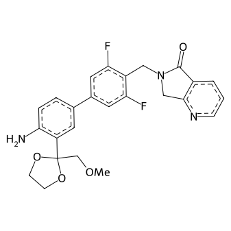 COCC1(c2cc(-c3cc(F)c(CN4Cc5ncccc5C4=O)c(F)c3)ccc2N)OCCO1